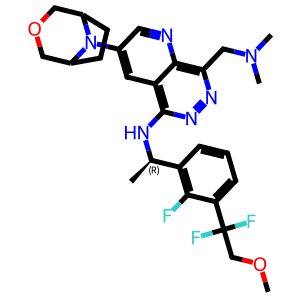 COCC(F)(F)c1cccc([C@@H](C)Nc2nnc(CN(C)C)c3ncc(N4C5CCC4COC5)cc23)c1F